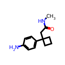 CNC(=O)CC1(c2ccc(N)cc2)CCC1